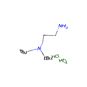 CC(C)(C)N(CCN)C(C)(C)C.Cl.Cl